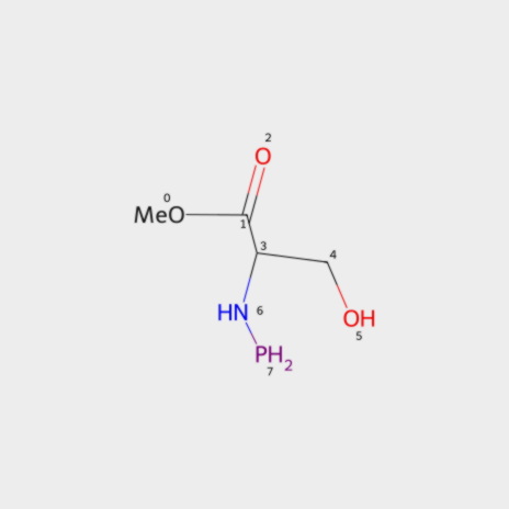 COC(=O)C(CO)NP